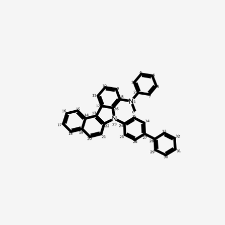 CN(c1ccccc1)c1cccc2c3c4ccccc4ccc3n(-c3ccc(-c4ccccc4)cc3)c12